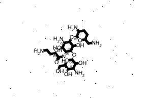 NCC[C@@H](O)C(=O)N[C@@H]1C(O)[C@H](N)C(O[C@H]2OC(CN)CCC2N)C(O)[C@H]1O[C@H]1OC(CO)[C@@H](O)[C@H](N)C1O